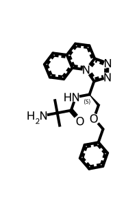 CC(C)(N)C(=O)N[C@H](COCc1ccccc1)c1nnc2ccc3ccccc3n12